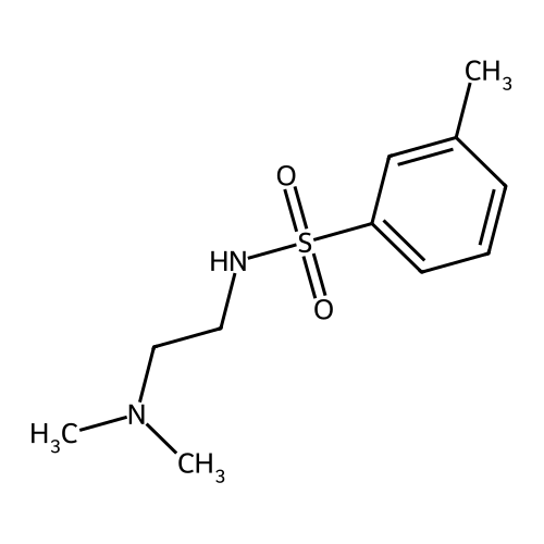 Cc1cccc(S(=O)(=O)NCCN(C)C)c1